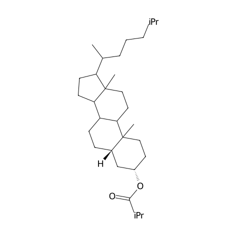 CC(C)CCCC(C)C1CCC2C3CC[C@H]4C[C@@H](OC(=O)C(C)C)CCC4(C)C3CCC12C